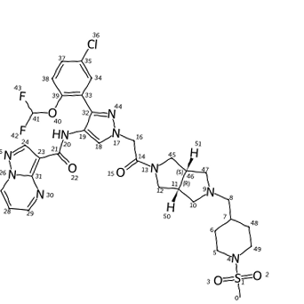 CS(=O)(=O)N1CCC(CN2C[C@@H]3CN(C(=O)Cn4cc(NC(=O)c5cnn6cccnc56)c(-c5cc(Cl)ccc5OC(F)F)n4)C[C@@H]3C2)CC1